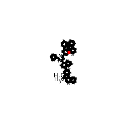 CC1(C)c2cc(-c3ccc(-c4cc(-c5ccc6c(c5)-c5ccccc5C6(c5ccccc5)c5ccccc5)nc(-c5ccccc5)n4)c4ccccc34)ccc2-c2c1ccc1ccccc21